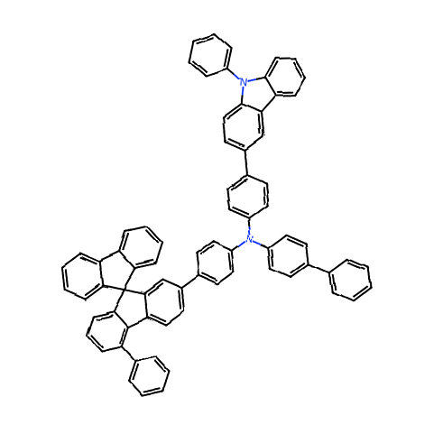 c1ccc(-c2ccc(N(c3ccc(-c4ccc5c(c4)C4(c6ccccc6-c6ccccc64)c4cccc(-c6ccccc6)c4-5)cc3)c3ccc(-c4ccc5c(c4)c4ccccc4n5-c4ccccc4)cc3)cc2)cc1